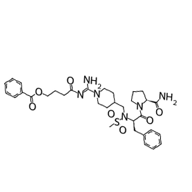 CS(=O)(=O)N(CC1CCN(C(N)=NC(=O)CCCOC(=O)c2ccccc2)CC1)[C@H](Cc1ccccc1)C(=O)N1CCC[C@H]1C(N)=O